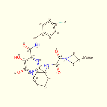 COC1CN(C(=O)C(=O)NC23CCC(CC2)Cn2c3nc(C(=O)NCc3ccc(F)cc3)c(O)c2=O)C1